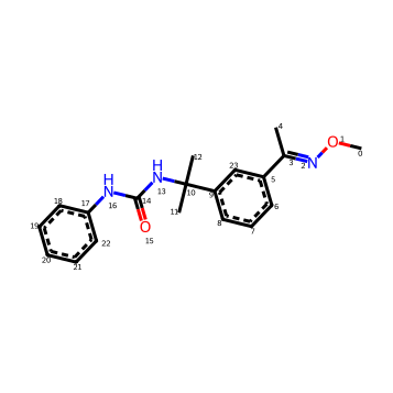 CO/N=C(\C)c1cccc(C(C)(C)NC(=O)Nc2ccccc2)c1